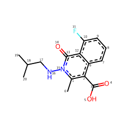 Cc1c(C(=O)O)c2cccc(F)c2c(=O)n1NCC(C)C